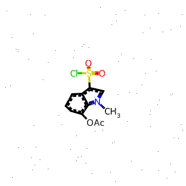 CC(=O)Oc1cccc2c(S(=O)(=O)Cl)cn(C)c12